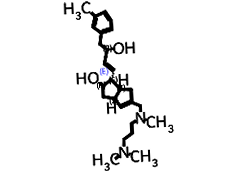 Cc1cccc(C[C@@H](O)/C=C/[C@@H]2[C@H]3CC(CN(C)CCCN(C)C)=C[C@H]3C[C@H]2O)c1